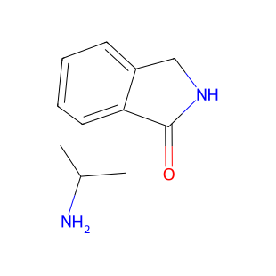 CC(C)N.O=C1NCc2ccccc21